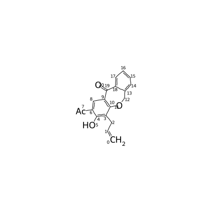 C=CCc1c(O)c(C(C)=O)cc2c1OCc1ccccc1C2=O